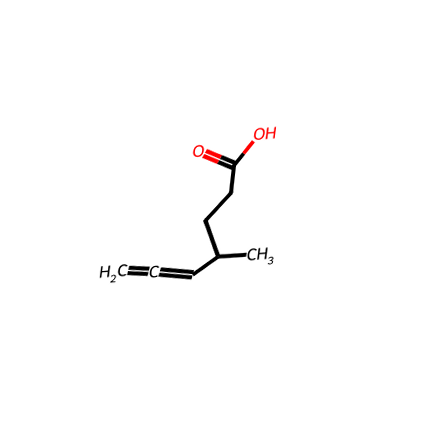 C=C=CC(C)CCC(=O)O